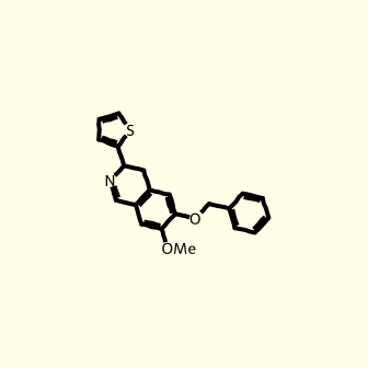 COc1cc2c(cc1OCc1ccccc1)CC(c1cccs1)N=C2